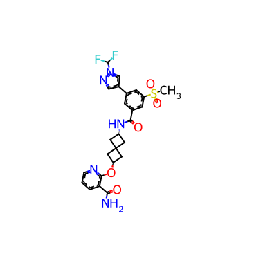 CS(=O)(=O)c1cc(C(=O)N[C@H]2CC3(C2)C[C@H](Oc2ncccc2C(N)=O)C3)cc(-c2cnn(C(F)F)c2)c1